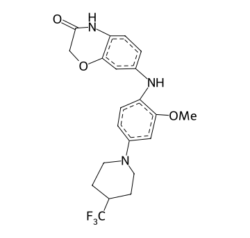 COc1cc(N2CCC(C(F)(F)F)CC2)ccc1Nc1ccc2c(c1)OCC(=O)N2